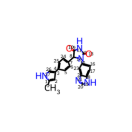 Cc1cc(-c2ccc(C3C(=O)NC(=O)N3c3ccc4[nH]cnc4c3)cc2)c[nH]1